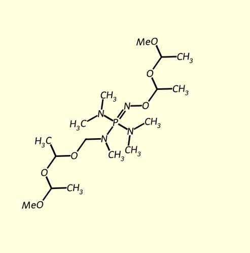 COC(C)OC(C)OCN(C)P(=NOC(C)OC(C)OC)(N(C)C)N(C)C